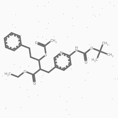 CCOC(=O)C(Cc1ccc(NC(=O)OC(C)(C)C)nc1)C(CCc1ccccc1)SC(C)=O